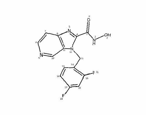 O=C(NO)c1nc2ccncc2n1Cc1ccc(F)cc1F